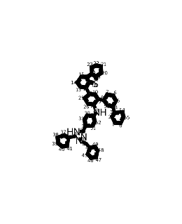 c1ccc(-c2cccc(-c3cc(-c4cccc5c4sc4ccccc45)ccc3Nc3ccc(C4NC(c5ccccc5)N5C(c6ccccc6)[N@@]45)cc3)c2)cc1